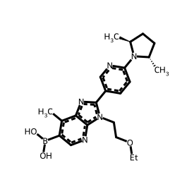 CCOCCn1c(-c2ccc(N3[C@@H](C)CC[C@@H]3C)nc2)nc2c(C)c(B(O)O)cnc21